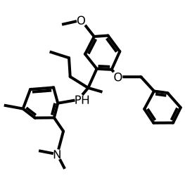 CCCC(C)(Pc1ccc(C)cc1CN(C)C)c1cc(OC)ccc1OCc1ccccc1